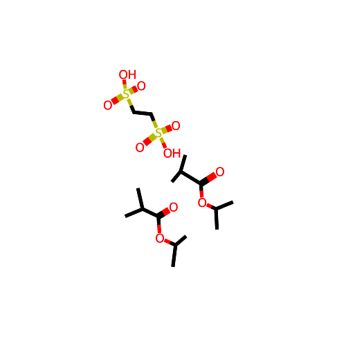 CC(C)OC(=O)C(C)C.CC(C)OC(=O)C(C)C.O=S(=O)(O)CCS(=O)(=O)O